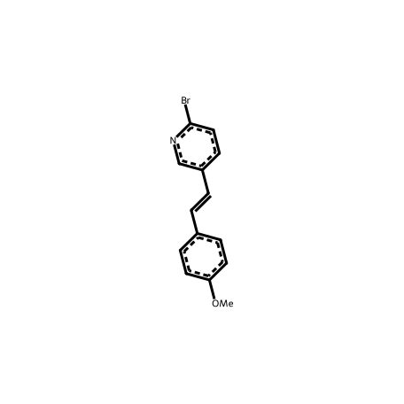 COc1ccc(C=Cc2ccc(Br)nc2)cc1